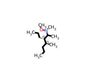 CCC[C@H](C(C)N(C)OC)[C@@H](C)CCC